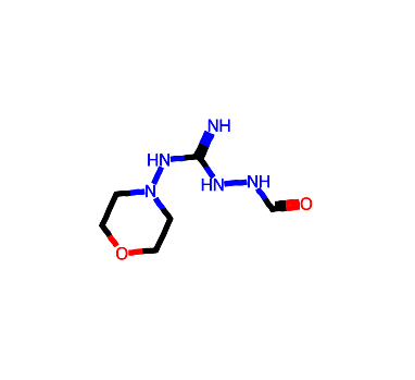 N=C(NNC=O)NN1CCOCC1